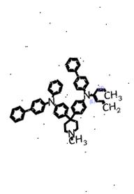 C=C/C=C(\C=C/C)N(c1ccc(-c2ccccc2)cc1)c1ccc(C2(c3ccc(N(c4ccccc4)c4ccc(-c5ccccc5)cc4)cc3)CCN(C)CC2)cc1